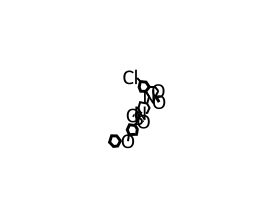 O=C1OCc2cc(Cl)ccc2N1C1CCN(S(=O)(=O)c2ccc(Oc3ccccc3)cc2)CC1